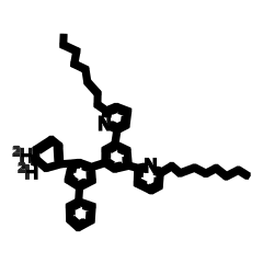 [2H]C1([2H])C=CC=C(c2cc(-c3ccccc3)cc(-c3cc(-c4cccc(CCCCCCCC)n4)cc(-c4cccc(CCCCCCCC)n4)c3)c2)C1